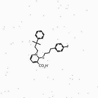 CC(C)(CCN1C=CC=C(C(=O)O)C1SCCCc1ccc(F)cc1)c1ccccc1